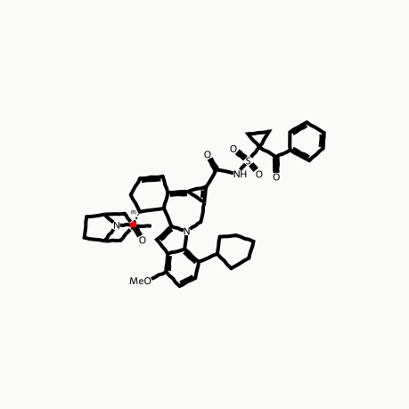 COc1ccc(C2CCCCC2)c2c1cc1n2CC2=C(C(=O)NS(=O)(=O)C3(C(=O)c4ccccc4)CC3)C2=C2C=CC[C@@H](C(=O)N3C4CCC3CN(C)C4)C21